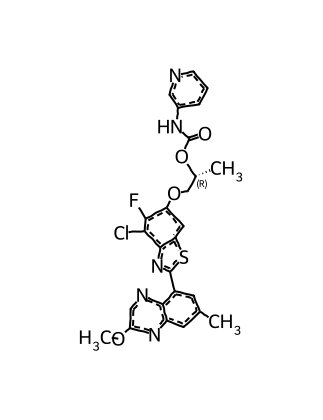 COc1cnc2c(-c3nc4c(Cl)c(F)c(OC[C@@H](C)OC(=O)Nc5cccnc5)cc4s3)cc(C)cc2n1